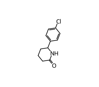 O=C1CCCC(c2ccc(Cl)cc2)N1